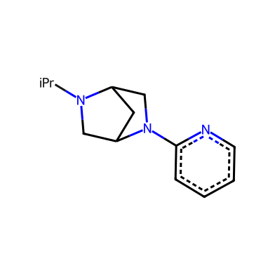 CC(C)N1CC2CC1CN2c1ccccn1